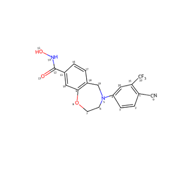 N#Cc1ccc(N2CCOc3cc(C(=O)NO)ccc3C2)cc1C(F)(F)F